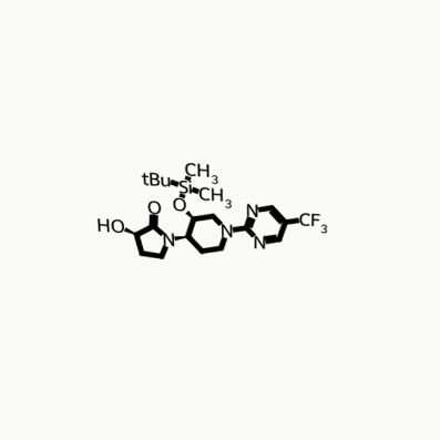 CC(C)(C)[Si](C)(C)O[C@H]1CN(c2ncc(C(F)(F)F)cn2)CC[C@H]1N1CC[C@@H](O)C1=O